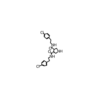 O=C(NCCc1ccc(Cl)cc1)C1CNC[C@H]1C(=O)NCCc1ccc(Cl)cc1